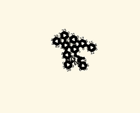 CC1C2C(c3cc(-c4cc(-c5ccccc5)ccc4-c4ccccc4)cc(-c4cc(-c5ccccc5)c(-c5ccccc5)cc4-c4ccccc4)c3)NC(c3ccccc3)=NC12c1ccccc1